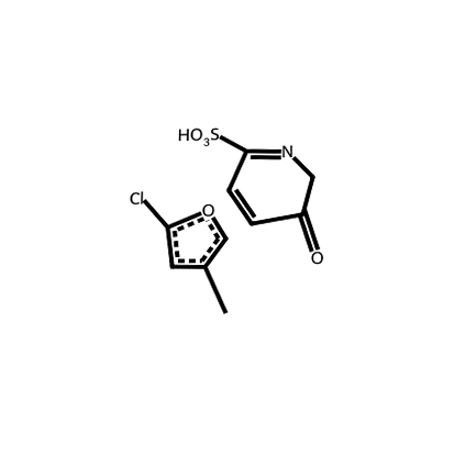 Cc1coc(Cl)c1.O=C1C=CC(S(=O)(=O)O)=NC1